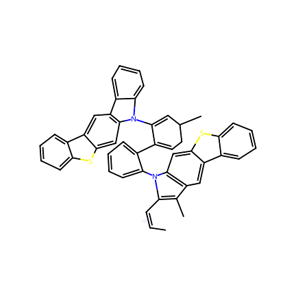 C/C=C\c1c(C)c2cc3c(cc2n1-c1ccccc1C1=CCC(C)C=C1n1c2ccccc2c2cc4c(cc21)sc1ccccc14)sc1ccccc13